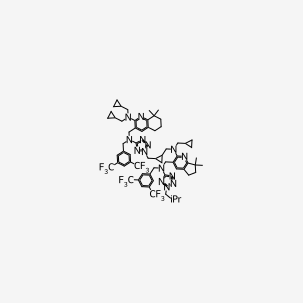 CC(C)Cn1nnc(N(Cc2cc(C(F)(F)F)cc(C(F)(F)F)c2)Cc2cc3c(nc2N(CC2CC2)CC2CC2Cn2nnc(N(Cc4cc(C(F)(F)F)cc(C(F)(F)F)c4)Cc4cc5c(nc4N(CC4CC4)CC4CC4)C(C)(C)CCC5)n2)C(C)(C)CC3)n1